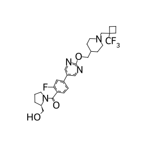 O=C(c1ccc(-c2cnc(OCC3CCN(CC4(C(F)(F)F)CCC4)CC3)nc2)cc1F)N1CCC[C@@H]1CO